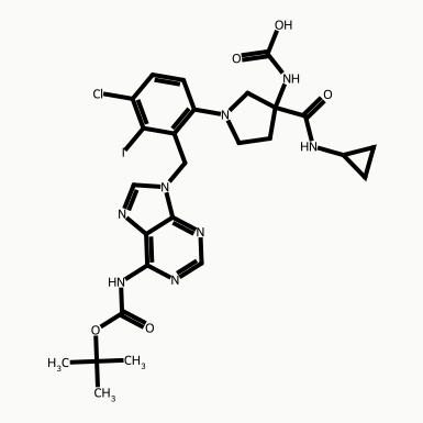 CC(C)(C)OC(=O)Nc1ncnc2c1ncn2Cc1c(N2CCC(NC(=O)O)(C(=O)NC3CC3)C2)ccc(Cl)c1I